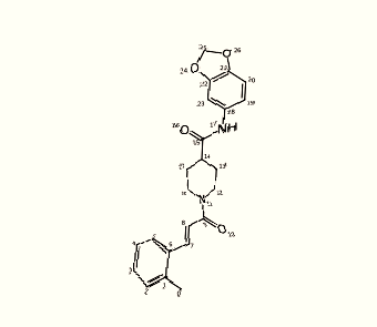 Cc1ccccc1/C=C/C(=O)N1CCC(C(=O)Nc2ccc3c(c2)OCO3)CC1